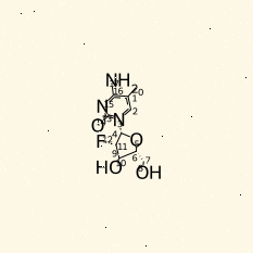 Cc1cn([C@@H]2O[C@H](CO)[C@H](O)[C@@H]2F)c(=O)nc1N